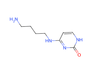 NCCCCNc1cc[nH]c(=O)n1